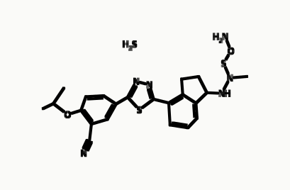 CC(C)Oc1ccc(-c2nnc(-c3cccc4c3CCC4NN(C)SON)s2)cc1C#N.S